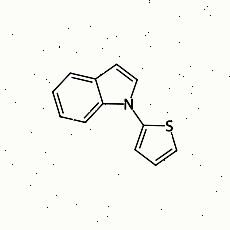 c1csc(-n2ccc3ccccc32)c1